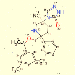 C[C@@H](OCC1(c2ccccc2)CC[C@](C#N)(n2cn[nH]c2=O)CN1)c1cc(C(F)(F)F)cc(C(F)(F)F)c1